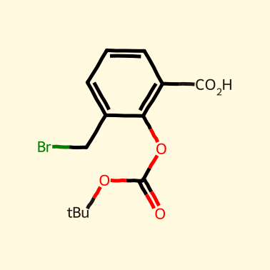 CC(C)(C)OC(=O)Oc1c(CBr)cccc1C(=O)O